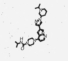 CC(C)NC(=O)N1CCN(c2ccnn3cc(-c4cnn(C5CCCN(C(C)C)C5)c4)cc23)CC1